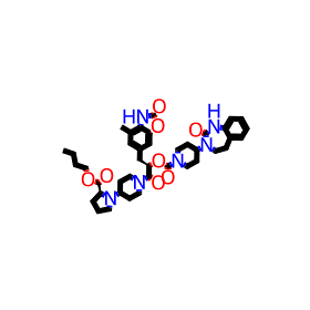 CCCCOC(=O)[C@@H]1CCCN1C1CCN(C(=O)[C@@H](Cc2cc(C)c3[nH]c(=O)oc3c2)OC(=O)N2CCC(N3CCc4ccccc4NC3=O)CC2)CC1